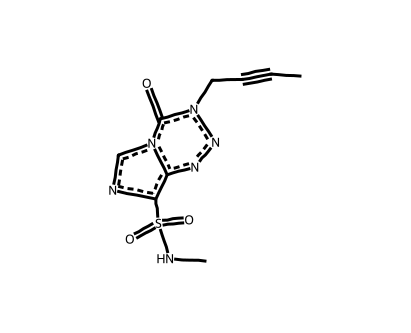 CC#CCn1nnc2c(S(=O)(=O)NC)ncn2c1=O